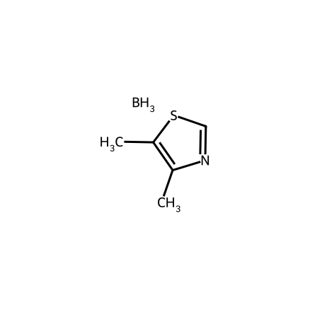 B.Cc1ncsc1C